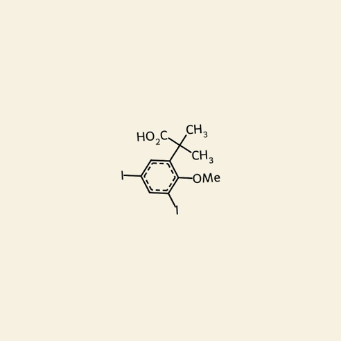 COc1c(I)cc(I)cc1C(C)(C)C(=O)O